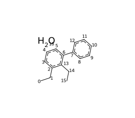 CCc1cccc(-c2ccccc2)c1CC.O